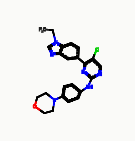 FC(F)(F)Cn1cnc2cc(-c3nc(Nc4ccc(N5CCOCC5)cc4)ncc3Cl)ccc21